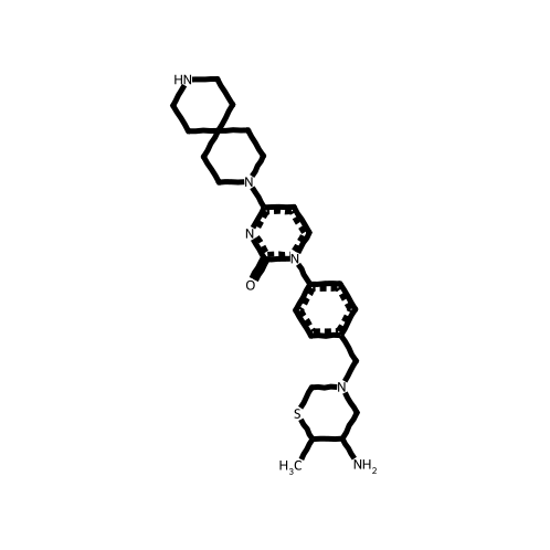 CC1SCN(Cc2ccc(-n3ccc(N4CCC5(CCNCC5)CC4)nc3=O)cc2)CC1N